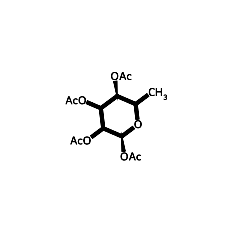 CC(=O)OC1C(OC(C)=O)[C@@H](OC(C)=O)C(C)O[C@H]1OC(C)=O